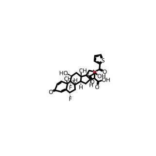 C[C@]12C=CC(=O)C=C1[C@@H](F)C[C@H]1[C@@H]3C[C@H]4C(C(=O)O)N(C(=O)c5cccs5)C[C@@]4(C(=O)CO)[C@@]3(C)C[C@H](O)[C@@]12F